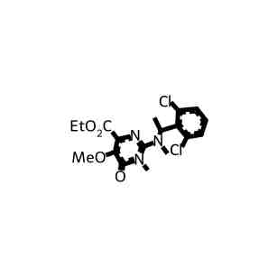 CCOC(=O)c1nc(N(C)C(C)c2c(Cl)cccc2Cl)n(C)c(=O)c1OC